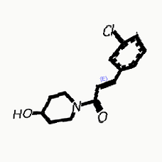 O=C(/C=C/c1cc[c]c(Cl)c1)N1CCC(O)CC1